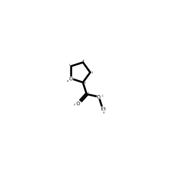 CCOC(=O)[C]1CCCO1